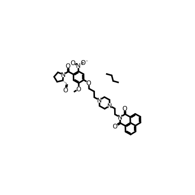 CCCC.COc1cc(C(=O)N2CCC[C@H]2C=O)c([N+](=O)[O-])cc1OCCCN1CCN(CCN2C(=O)c3cccc4cccc(c34)C2=O)CC1